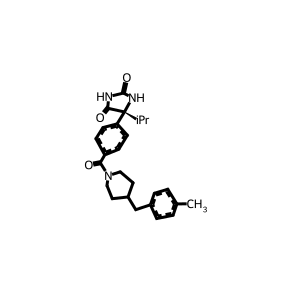 Cc1ccc(CC2CCN(C(=O)c3ccc([C@@]4(C(C)C)NC(=O)NC4=O)cc3)CC2)cc1